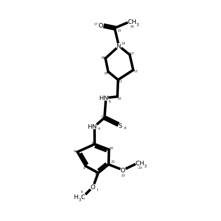 COc1ccc(NC(=S)NCC2CCN(C(C)=O)CC2)cc1OC